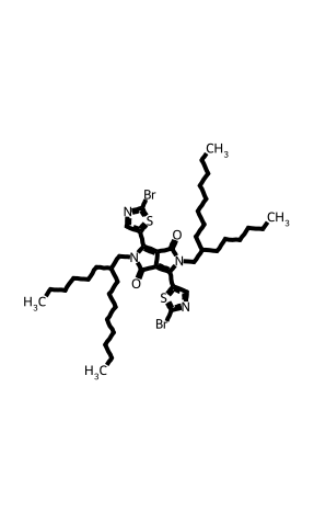 CCCCCCCCC(CCCCCC)CN1C(=O)C2=C(c3cnc(Br)s3)N(CC(CCCCCC)CCCCCCCC)C(=O)C2=C1c1cnc(Br)s1